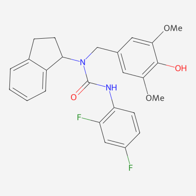 COc1cc(CN(C(=O)Nc2ccc(F)cc2F)C2CCc3ccccc32)cc(OC)c1O